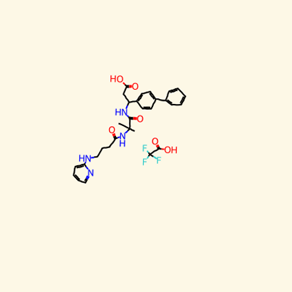 CC(C)(NC(=O)CCCNc1ccccn1)C(=O)NC(CC(=O)O)c1ccc(-c2ccccc2)cc1.O=C(O)C(F)(F)F